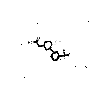 Cl.O=C(O)CC1CCNC(c2cccc(C(F)(F)F)c2)C1